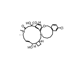 C[C@H]1C/C=C/[C@H](O)[C@@H]2CC[C@H]2CN2CCCCc3cc(Cl)ccc3COc3ccc(cc32)[C@](O)(C(=O)O)CC(=O)N1C